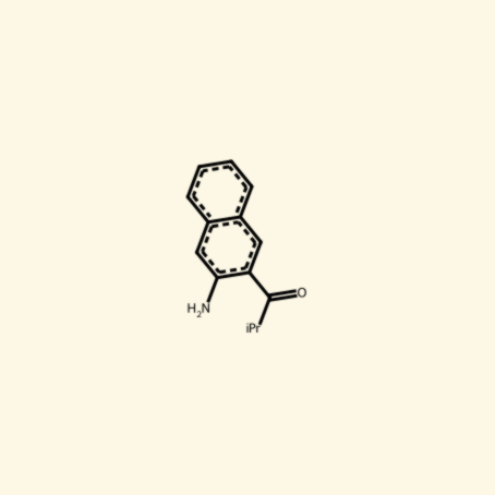 CC(C)C(=O)c1cc2ccccc2cc1N